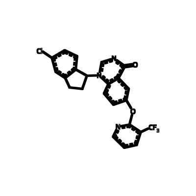 O=c1ncn(C2CCc3cc(Cl)ccc32)c2ccc(Oc3ncccc3C(F)(F)F)cc12